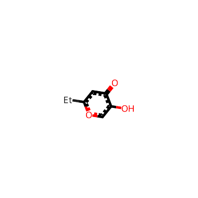 CCc1cc(=O)c(O)co1